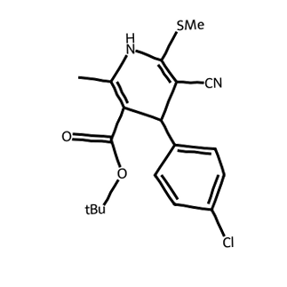 CSC1=C(C#N)C(c2ccc(Cl)cc2)C(C(=O)OC(C)(C)C)=C(C)N1